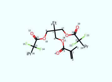 C=C(C)C(=O)OCC(CC)(COC(=O)C(F)(F)C(C)C)COC(=O)C(F)(F)C(C)C